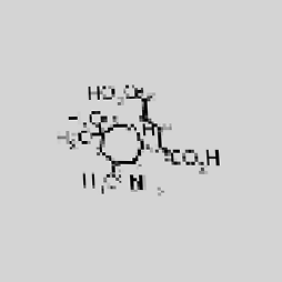 CC1CCNCC(C)(C)C1.N.O=C(O)CCCCC(=O)O